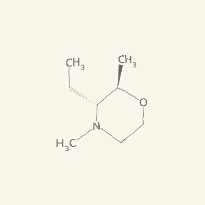 CC[C@@H]1[C@@H](C)OCCN1C